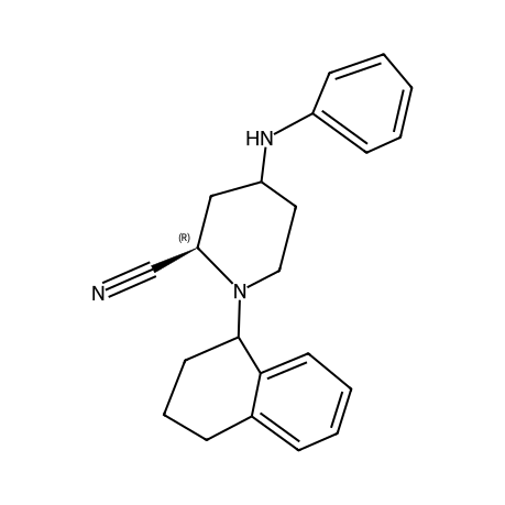 N#C[C@H]1CC(Nc2ccccc2)CCN1C1CCCc2ccccc21